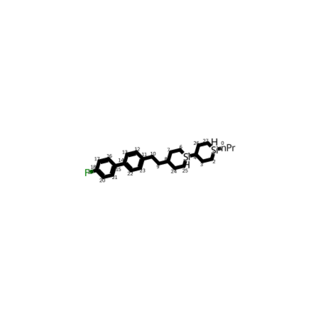 CCC[SiH]1CCC([SiH]2CCC(CCc3ccc(-c4ccc(F)cc4)cc3)CC2)CC1